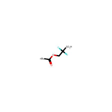 CCCCC(=O)OCC(F)(F)S(=O)(=O)O